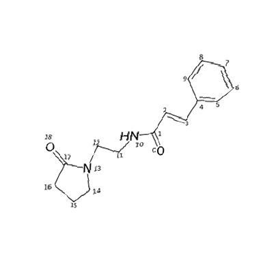 O=C(C=Cc1ccccc1)NCCN1CCCC1=O